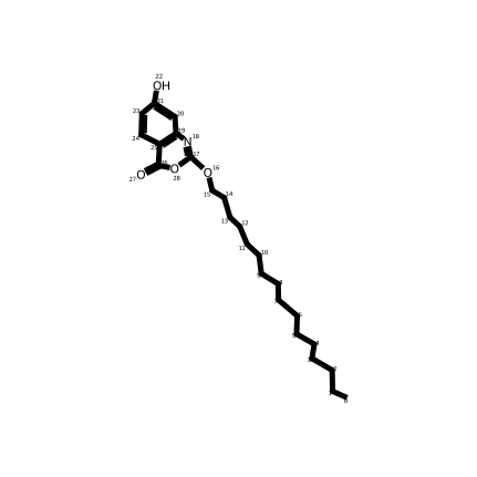 CCCCCCCCCCCCCCCCOc1nc2cc(O)ccc2c(=O)o1